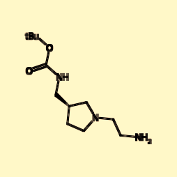 CC(C)(C)OC(=O)NC[C@@H]1CCN(CCN)C1